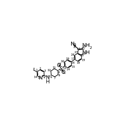 Cc1ccc(N[C@H]2CC[C@H](S(=O)(=O)c3ccc(-c4ccc5[nH]c(N)c(C#N)c5c4)cc3)CC2)nc1